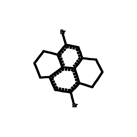 Brc1cc2c3c(c(Br)cc4c3c1CCC4)CCC2